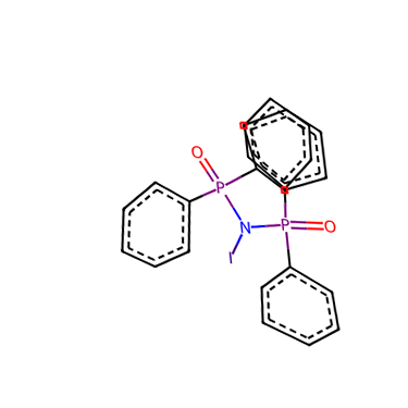 O=P(c1ccccc1)(c1ccccc1)N(I)P(=O)(c1ccccc1)c1ccccc1